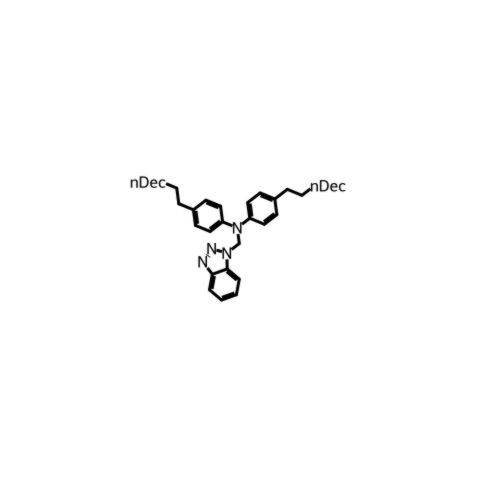 CCCCCCCCCCCCc1ccc(N(Cn2nnc3ccccc32)c2ccc(CCCCCCCCCCCC)cc2)cc1